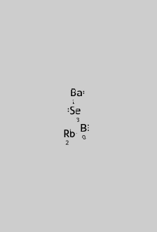 [B].[Ba].[Rb].[Se]